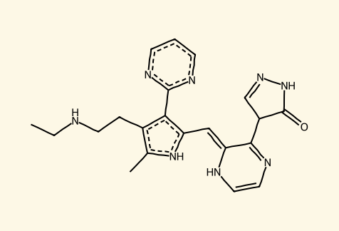 CCNCCc1c(C)[nH]c(C=C2NC=CN=C2C2C=NNC2=O)c1-c1ncccn1